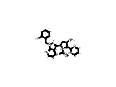 NC1CC(c2nn(Cc3ccccc3F)c3ncccc23)N(C(=O)O)C1c1ncccn1